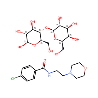 O=C(NCCN1CCOCC1)c1ccc(Cl)cc1.OC[C@H]1O[C@@H](O[C@H]2[C@H](O)[C@@H](O)[C@H](O)O[C@@H]2CO)[C@H](O)[C@@H](O)[C@H]1O